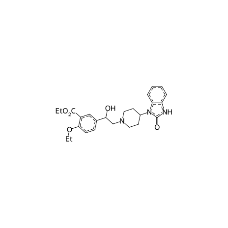 CCOC(=O)c1cc(C(O)CN2CCC(n3c(=O)[nH]c4ccccc43)CC2)ccc1OCC